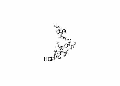 C=C(C)C(=O)OC.C=C(C)C(=O)OCC.C=CC(=O)OCC.CN(C)C.Cl